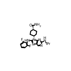 CC(C)Nc1ncc2nc(Nc3c(F)cccc3F)n([C@H]3CC[C@H](C(N)=O)CC3)c2n1